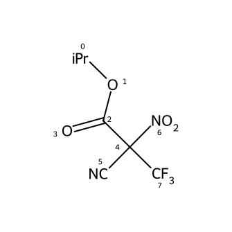 CC(C)OC(=O)C(C#N)([N+](=O)[O-])C(F)(F)F